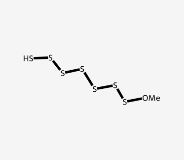 COSSSSSSS